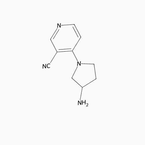 N#Cc1cnccc1N1CCC(N)C1